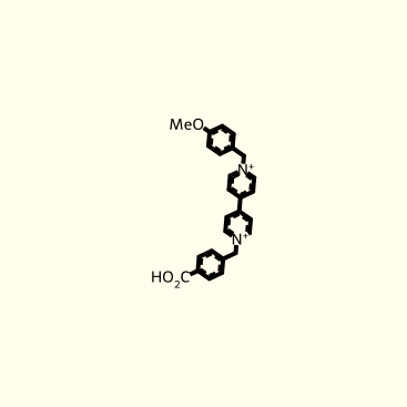 COc1ccc(C[n+]2ccc(-c3cc[n+](Cc4ccc(C(=O)O)cc4)cc3)cc2)cc1